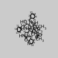 CCC(C)C(C(=O)NC(Cc1ccccc1)C(O)CN(Cc1ccccc1)NC(=O)CC(C)(C)CNC(=O)OC)C1CNC(=O)N1Cc1cccnc1